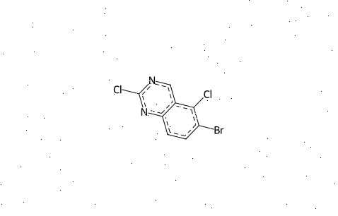 Clc1ncc2c(Cl)c(Br)ccc2n1